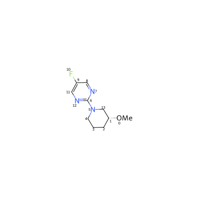 CO[C@@H]1CCCN(c2ncc(F)cn2)C1